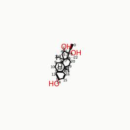 C#C[C@]1(O)[C@H](O)C[C@H]2[C@@H]3CCc4cc(O)ccc4[C@H]3CC[C@@]21C